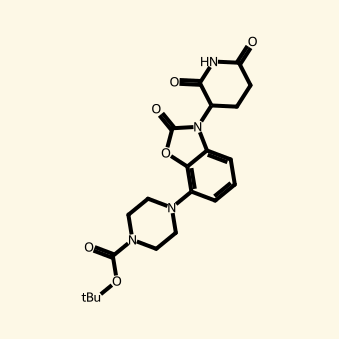 CC(C)(C)OC(=O)N1CCN(c2cccc3c2oc(=O)n3C2CCC(=O)NC2=O)CC1